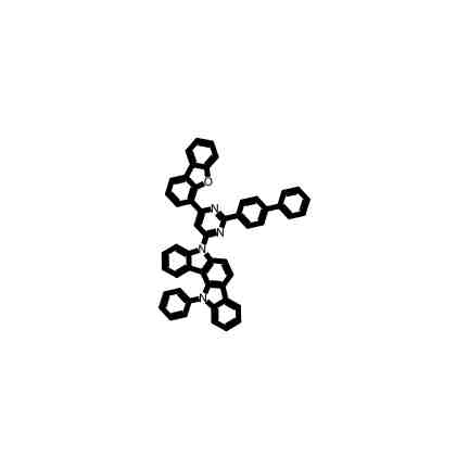 c1ccc(-c2ccc(-c3nc(-c4cccc5c4oc4ccccc45)cc(-n4c5ccccc5c5c4ccc4c6ccccc6n(-c6ccccc6)c45)n3)cc2)cc1